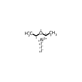 CCOCC.[Al+3].[I-].[I-].[I-]